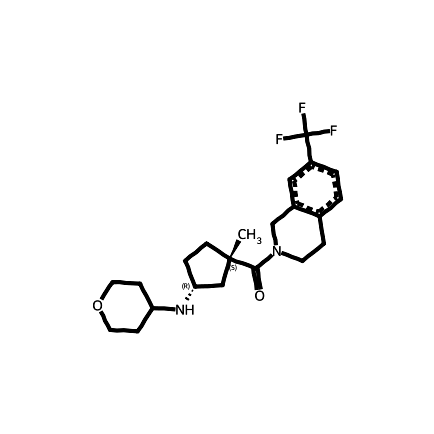 C[C@]1(C(=O)N2CCc3ccc(C(F)(F)F)cc3C2)CC[C@@H](NC2CCOCC2)C1